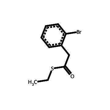 CCSC(=O)Cc1ccccc1Br